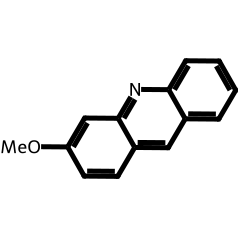 COc1ccc2cc3ccccc3nc2c1